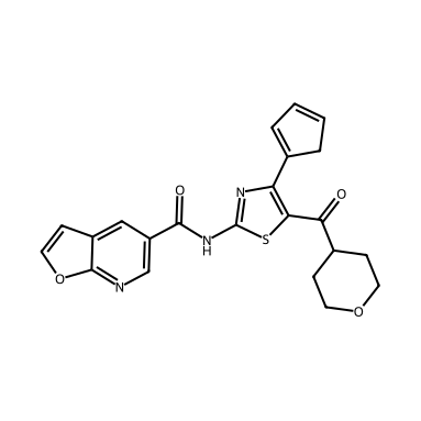 O=C(Nc1nc(C2=CC=CC2)c(C(=O)C2CCOCC2)s1)c1cnc2occc2c1